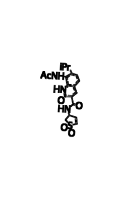 CC(=O)Nc1c(C(C)C)ccc2cc(C(=O)NC3C=CS(=O)(=O)C3)c(=O)[nH]c12